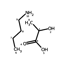 CC(O)C(=O)O.CCCCN